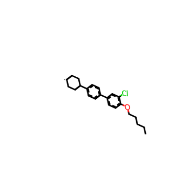 CCCCCOc1ccc(-c2ccc(C3CC[CH]CC3)cc2)cc1Cl